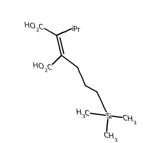 CC(C)C(C(=O)O)=C(CCC[Si](C)(C)C)C(=O)O